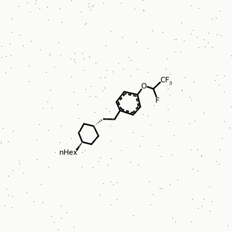 CCCCCC[C@H]1CC[C@H](CCc2ccc(OC(F)C(F)(F)F)cc2)CC1